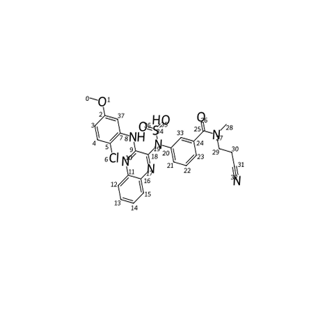 COc1ccc(Cl)c(Nc2nc3ccccc3nc2N(c2cccc(C(=O)N(C)CCC#N)c2)[SH](=O)=O)c1